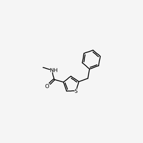 CNC(=O)c1csc(Cc2ccccc2)c1